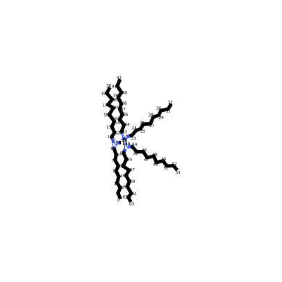 CCCCCCCCCC[N](CCCCCCCCCC)[Ti]([N](CCCCCCCCCC)CCCCCCCCCC)[N](CCCCCCCCCC)CCCCCCCCCC